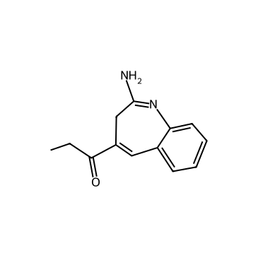 CCC(=O)C1=Cc2ccccc2N=C(N)C1